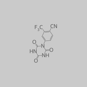 N#Cc1ccc(-n2c(=O)[nH]c(=O)[nH]c2=O)cc1C(F)(F)F